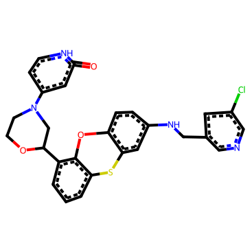 O=c1cc(N2CCOC(c3cccc4c3Oc3ccc(NCc5cncc(Cl)c5)cc3S4)C2)cc[nH]1